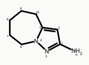 Nc1cc2n(n1)CCCCC2